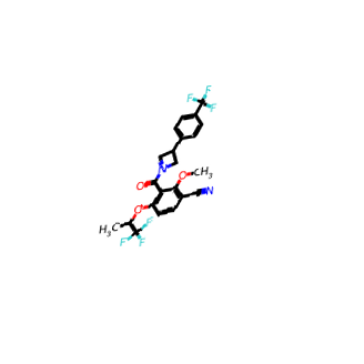 COc1c(C#N)ccc(OC(C)C(F)(F)F)c1C(=O)N1CC(c2ccc(C(F)(F)F)cc2)C1